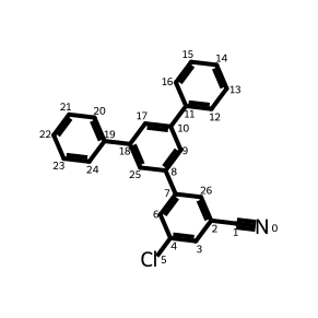 N#Cc1cc(Cl)cc(-c2cc(-c3ccccc3)cc(-c3ccccc3)c2)c1